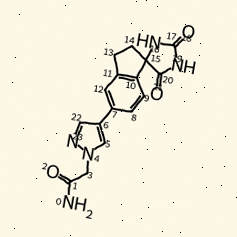 NC(=O)Cn1cc(-c2ccc3c(c2)CCC32NC(=O)NC2=O)cn1